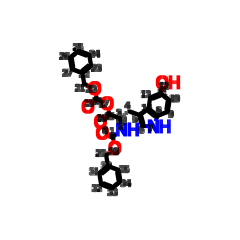 O=C(N[C@@H](Cc1c[nH]c2ccc(O)cc12)C(=O)OC(=O)OCc1ccccc1)OCc1ccccc1